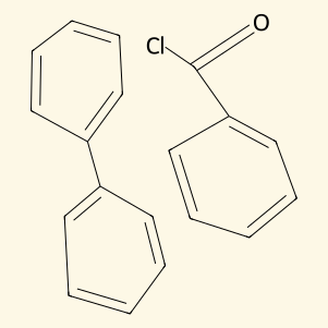 O=C(Cl)c1ccccc1.c1ccc(-c2ccccc2)cc1